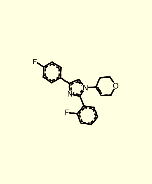 Fc1ccc(-c2cn(C3=CCOCC3)c(-c3ccccc3F)n2)cc1